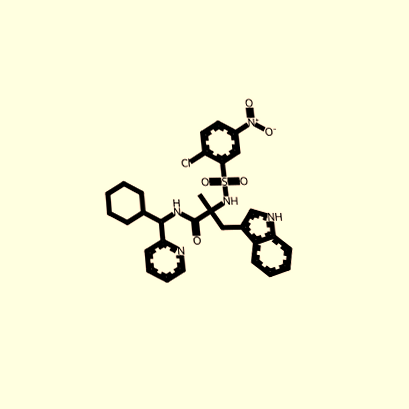 CC(Cc1c[nH]c2ccccc12)(NS(=O)(=O)c1cc([N+](=O)[O-])ccc1Cl)C(=O)NC(c1ccccn1)C1CCCCC1